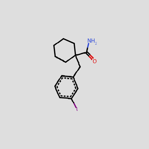 NC(=O)C1(Cc2cccc(I)c2)CCCCC1